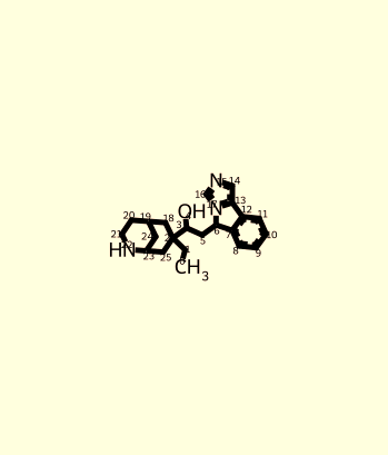 CCC1(C(O)CC2c3ccccc3-c3cncn32)CC2CCNC(C2)C1